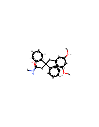 CNC(=O)CC(Cc1cc(OC)cc(OC)c1)(c1ccccc1)c1ccccc1